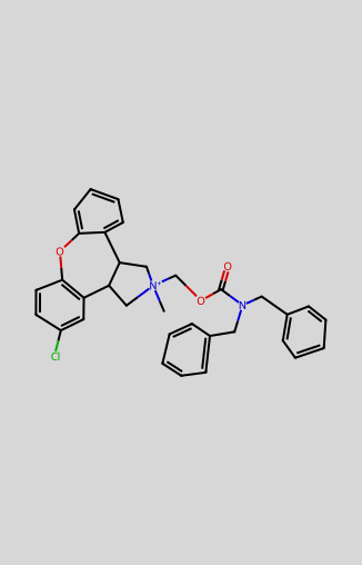 C[N+]1(COC(=O)N(Cc2ccccc2)Cc2ccccc2)CC2c3ccccc3Oc3ccc(Cl)cc3C2C1